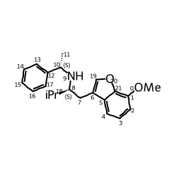 COc1cccc2c(C[C@H](N[C@@H](C)c3ccccc3)C(C)C)coc12